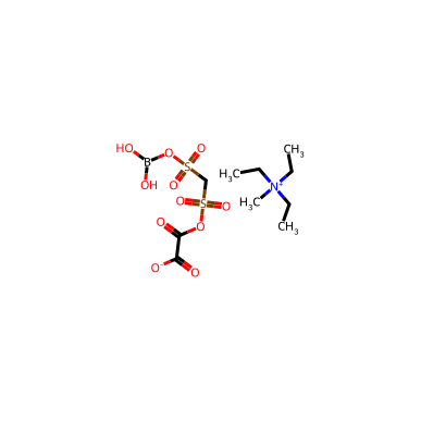 CC[N+](C)(CC)CC.O=C([O-])C(=O)OS(=O)(=O)CS(=O)(=O)OB(O)O